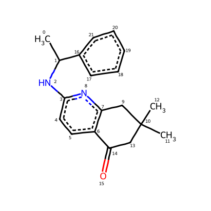 CC(Nc1ccc2c(n1)CC(C)(C)CC2=O)c1ccccc1